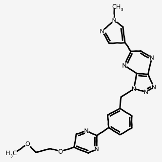 COCCOc1cnc(-c2cccc(Cn3nnc4ncc(-c5cnn(C)c5)nc43)c2)nc1